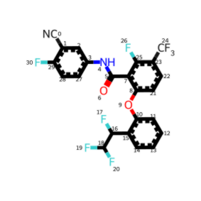 N#Cc1cc(NC(=O)c2c(Oc3ccccc3C(F)C(F)F)ccc(C(F)(F)F)c2F)ccc1F